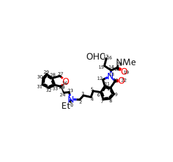 CCN(CCCCc1cccc2c1CN(C(CCC=O)C(=O)NC)C2=O)CC[C@@H]1OCc2ccccc21